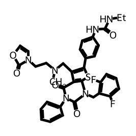 CCNC(=O)Nc1ccc(-c2sc3c(c2CN(C)CCn2ccoc2=O)c(=O)n(-c2ccccc2)c(=O)n3Cc2c(F)cccc2F)cc1